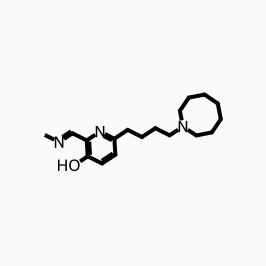 C/N=C/c1nc(CCCCN2CCCCCCC2)ccc1O